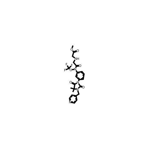 COC(=O)CNCC(=O)N(OC(F)(F)F)c1cccc(N2C(=O)N(Cc3ccncc3)C(C)(C)C2=O)c1